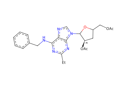 CCc1nc(NCc2ccccc2)c2ncn(C3OC(COC(C)=O)C[C@H]3OC(C)=O)c2n1